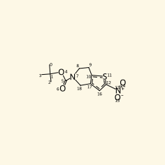 CC(C)(C)OC(=O)N1CCc2sc([N+](=O)[O-])cc2C1